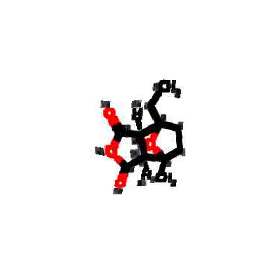 CCC12CCC(C)(O1)[C@H]1C(=O)OC(=O)[C@H]12